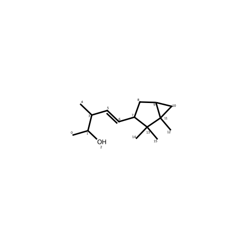 CC(O)C(C)/C=C/C1CC2CC2(C)C1(C)C